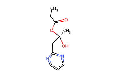 CCC(=O)O[C@@](C)(O)Cc1ncccn1